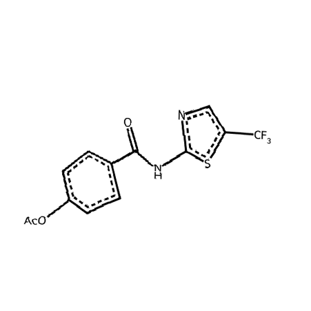 CC(=O)Oc1ccc(C(=O)Nc2ncc(C(F)(F)F)s2)cc1